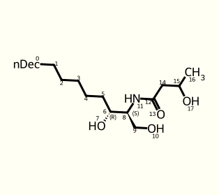 CCCCCCCCCCCCCCC[C@@H](O)[C@H](CO)NC(=O)CC(C)O